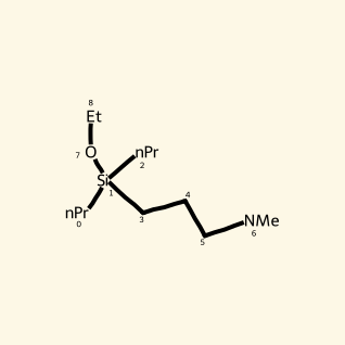 CCC[Si](CCC)(CCCNC)OCC